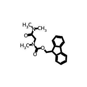 CN(C)C(=O)CN(C)C(=O)OCC1c2ccccc2-c2ccccc21